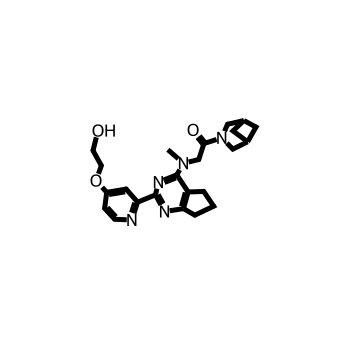 CN(CC(=O)N1CC2CC(C2)C1)c1nc(-c2cc(OCCO)ccn2)nc2c1CCC2